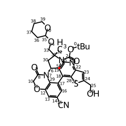 CC(C)(C)OC(=O)N1C[C@@H](N2C(=O)COc3cc(C#N)cc(-c4ccnc5cc(CO)sc45)c32)C[C@]1(C)COC1CCCCO1